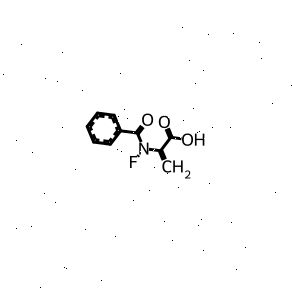 C=C(C(=O)O)N(F)C(=O)c1ccccc1